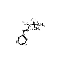 CC(C)(C)[S+]([O-])N=Cc1cccnc1